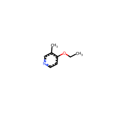 CCOc1ccn[c]c1C